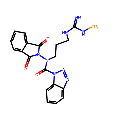 N=C(NP)NCCCN(C(=O)n1nnc2ccccc21)N1C(=O)c2ccccc2C1=O